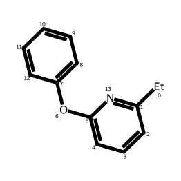 [CH2]Cc1cccc(Oc2ccccc2)n1